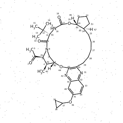 CC(=O)[C@@H]1[C@H](C)[C@@H]2CN1C(=O)[C@H](C(C)(C)C)NC(=O)O[C@@H]1CCC[C@H]1CCCCCc1nc3ccc(OC4CC4)cc3nc1O2